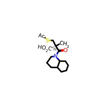 CC(=O)SC[C@](C)(C(=O)O)C(=O)N1CCCC2CCCCC21